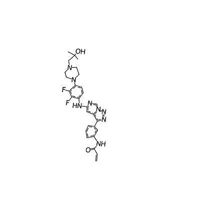 C=CC(=O)Nc1cccc(-c2nnn3cnc(Nc4ccc(N5CCN(CC(C)(C)O)CC5)c(F)c4F)cc23)c1